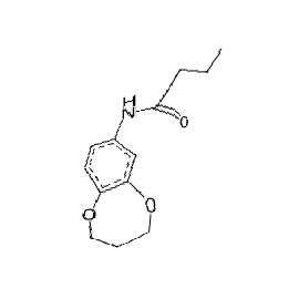 CCCC(=O)Nc1ccc2c(c1)OCCCO2